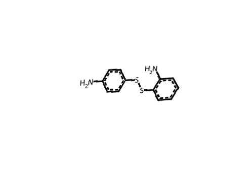 Nc1ccc(SSc2ccccc2N)cc1